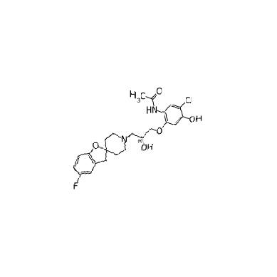 CC(=O)Nc1cc(Cl)c(O)cc1OC[C@H](O)CN1CCC2(CC1)Cc1cc(F)ccc1O2